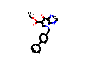 CCOC(=O)c1cn(Cc2ccc(-c3cc#ccc3)cc2)c2nccnc2c1=O